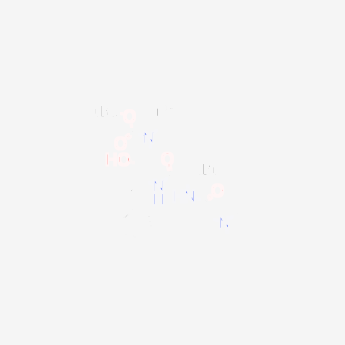 CC(C)CN(C[C@@H](O)[C@H](Cc1ccccc1)NC(=O)[C@@H](NC(=O)CN1CCCC1)C(C)(C)C)C(=O)OC(C)(C)C